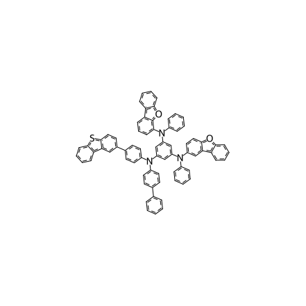 c1ccc(-c2ccc(N(c3ccc(-c4ccc5sc6ccccc6c5c4)cc3)c3cc(N(c4ccccc4)c4ccc5oc6ccccc6c5c4)cc(N(c4ccccc4)c4cccc5c4oc4ccccc45)c3)cc2)cc1